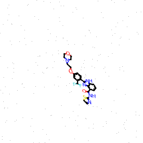 O=C(Nc1nccs1)c1cccc2[nH]c(-c3ccc(OCCN4CCOCC4)cc3C(F)F)nc12